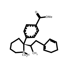 COC(=O)c1ccc([C@@]2(C(C)CC3=CCCC=C3)CCCCN2C(=O)O)cc1